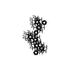 [2H]c1c([2H])c([2H])c2c(c1[2H])c1c([2H])c(-c3ccc(-n4c5c([2H])c([2H])c([2H])c([2H])c5c5c([2H])c(-c6c([2H])c([2H])c7c(c6[2H])c6c([2H])c([2H])c([2H])c([2H])c6n7-c6ccccc6)c([2H])c([2H])c54)cc3)c([2H])c([2H])c1n2-c1ccccc1